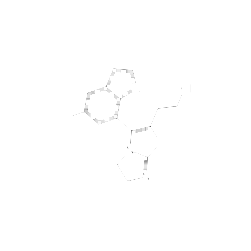 CCCC1=C(c2cc(C)cc3ccsc23)N2CCN=C2S1